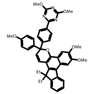 CCC1(CC)c2ccccc2-c2c1c1c(c3cc(OC)c(OC)cc23)OC(c2ccc(OC)cc2)(c2ccc(-c3nc(OC)nc(OC)n3)cc2)C=C1